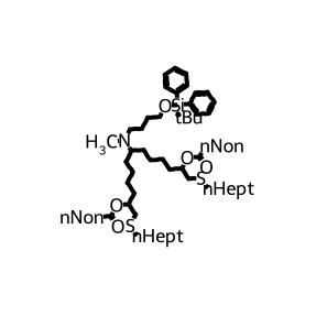 CCCCCCCCCC(=O)OC(CCCCC(CCCCC(CSCCCCCCC)OC(=O)CCCCCCCCC)N(C)CCCCO[Si](c1ccccc1)(c1ccccc1)C(C)(C)C)CSCCCCCCC